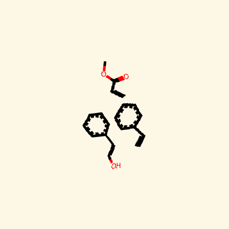 C=CC(=O)OC.C=Cc1ccccc1.OC=Cc1ccccc1